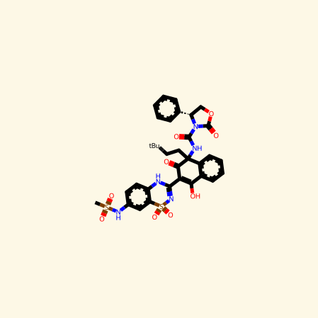 CC(C)(C)CCC1(NC(=O)N2C(=O)OC[C@H]2c2ccccc2)C(=O)C(C2=NS(=O)(=O)c3cc(NS(C)(=O)=O)ccc3N2)=C(O)c2ccccc21